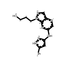 CC(C)c1cc(Nc2cnc3cnn(CCCO)c3n2)n[nH]1